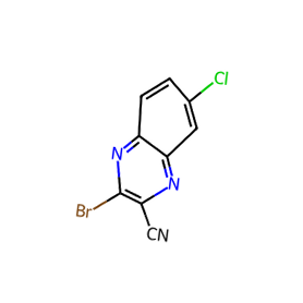 N#Cc1nc2cc(Cl)ccc2nc1Br